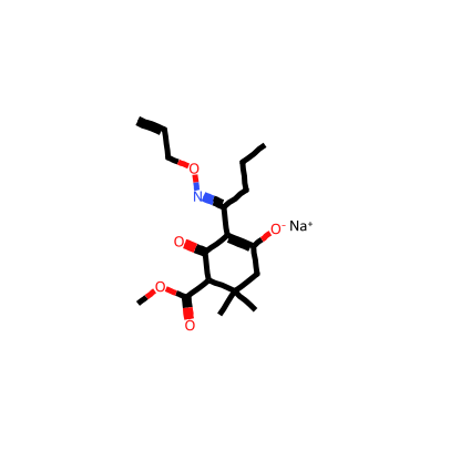 C=CCON=C(CCC)C1=C([O-])CC(C)(C)C(C(=O)OC)C1=O.[Na+]